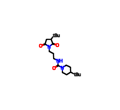 CC(C)(C)C1CCN(C(=O)NCCCN2C(=O)CC(C(C)(C)C)C2=O)CC1